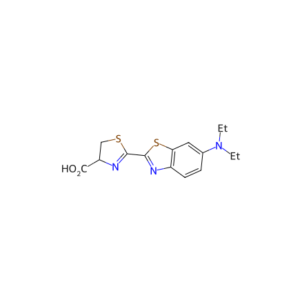 CCN(CC)c1ccc2nc(C3=NC(C(=O)O)CS3)sc2c1